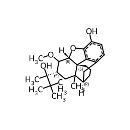 COC1[C@@H](C(C)(O)C(C)(C)C)CC2(C)[C@@H]3CCC[C@@]24c2c(ccc(O)c2O[C@@H]14)C3